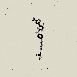 COC(=O)CCCCCCOc1ccc(Nc2ncc(F)c(-c3cn(C(C)C)nn3)n2)cc1